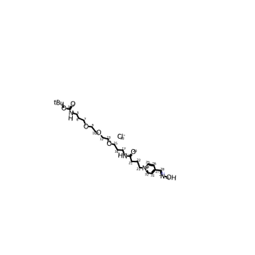 CC(C)(C)OC(=O)NCCCOCCOCCOCCCNC(=O)CCC[n+]1ccc(/C=N/O)cc1.[Cl-]